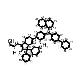 C/C=C\CC1=C(C)C(c2ccccc2)(C2CC=CC(C)C2)C2C=C(c3ccc(N(c4ccc(-c5ccccc5)cc4)c4cccc5ccccc45)cc3)C=CC12